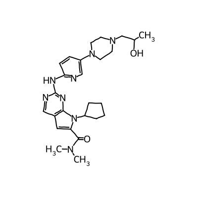 CC(O)CN1CCN(c2ccc(Nc3ncc4cc(C(=O)N(C)C)n(C5CCCC5)c4n3)nc2)CC1